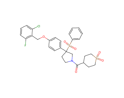 O=C(C1CCS(=O)(=O)CC1)N1CCC(c2ccc(OCc3c(F)cccc3Cl)cc2)(S(=O)(=O)c2ccccc2)C1